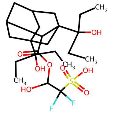 CCC(O)(CC)C12CC3CC(C1)C(C(=O)OC(O)C(F)(F)S(=O)(=O)O)C(C(O)(CC)CC)(C3)C2